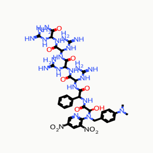 CN(C)c1ccc(CN(c2ncc([N+](=O)[O-])cc2[N+](=O)[O-])C(O)C(=O)NC(C(=O)NC(NC(=N)N)C(=O)NC(NC(=N)N)C(=O)NC(NC(=N)N)C(=O)NC(NC(=N)N)C(N)=O)c2ccccc2)cc1